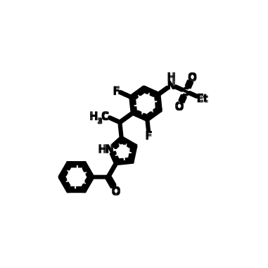 CCS(=O)(=O)Nc1cc(F)c(C(C)c2ccc(C(=O)c3ccccc3)[nH]2)c(F)c1